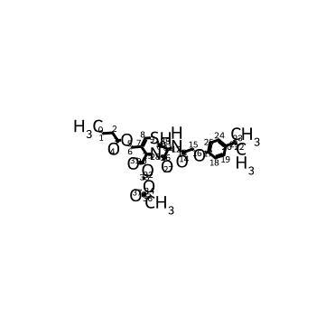 CCCC(=O)OCC1=CS[C@H]2C(NC(=O)COc3ccc(C(C)C)cc3)C(=O)N2C1C(=O)OCOC(C)=O